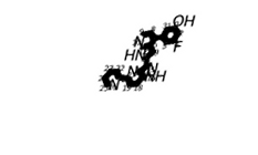 Oc1cc(F)cc(-c2ccnc3[nH]c(-c4n[nH]c5ccc(-c6ccccn6)nc45)cc23)c1